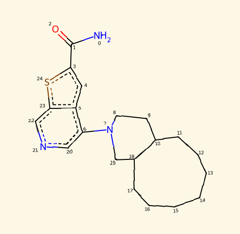 NC(=O)c1cc2c(N3CCC4CCCCCCCC4C3)cncc2s1